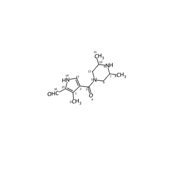 Cc1c(C(=O)N2CC(C)NC(C)C2)c[nH]c1C=O